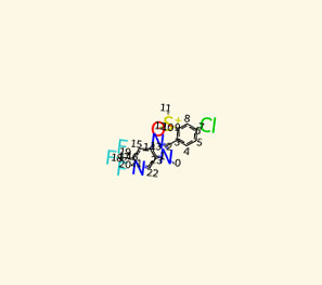 Cn1c(-c2ccc(Cl)cc2[S+](C)[O-])nc2cc(C(F)(F)F)ncc21